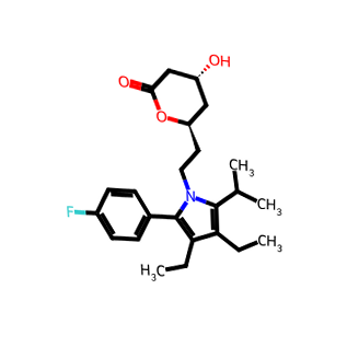 CCc1c(CC)c(C(C)C)n(CC[C@@H]2C[C@@H](O)CC(=O)O2)c1-c1ccc(F)cc1